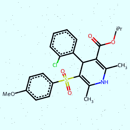 COc1ccc(S(=O)(=O)C2=C(C)NC(C)=C(C(=O)OC(C)C)C2c2ccccc2Cl)cc1